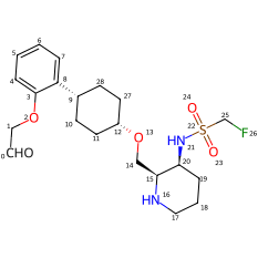 O=CCOc1ccccc1[C@H]1CC[C@@H](OC[C@@H]2NCCC[C@@H]2NS(=O)(=O)CF)CC1